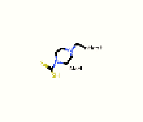 CCCCCCCCN1CCN(C(=S)S)CC1.[NaH]